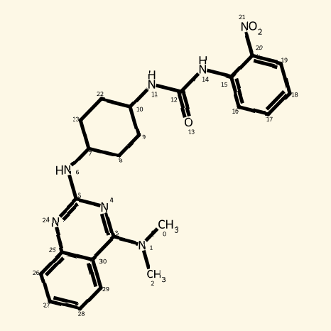 CN(C)c1nc(NC2CCC(NC(=O)Nc3ccccc3[N+](=O)[O-])CC2)nc2ccccc12